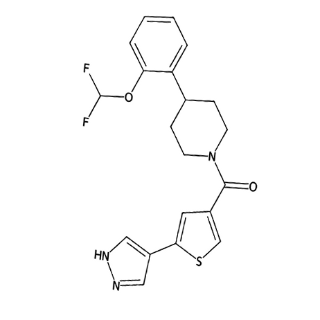 O=C(c1csc(-c2cn[nH]c2)c1)N1CCC(c2ccccc2OC(F)F)CC1